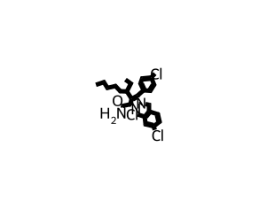 CCCCCC(CC)c1c(C(N)=O)nn(Cc2ccc(Cl)cc2Cl)c1-c1ccc(Cl)cc1